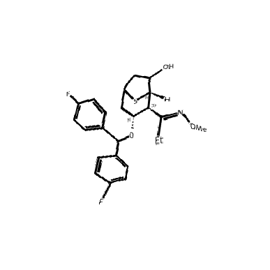 CCC(=NOC)[C@@H]1[C@@H]2SC(CC2O)C[C@H]1OC(c1ccc(F)cc1)c1ccc(F)cc1